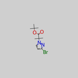 CC(C)(C)OC(=O)C(C)(C)n1ccc(Br)n1